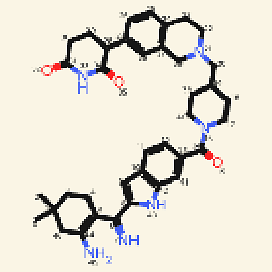 CC1(C)CCC(C(=N)c2cc3ccc(C(=O)N4CCC(CN5CCc6ccc(C7CCC(=O)NC7=O)cc6C5)CC4)cc3[nH]2)=C(N)C1